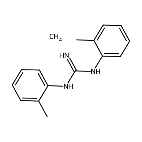 C.Cc1ccccc1NC(=N)Nc1ccccc1C